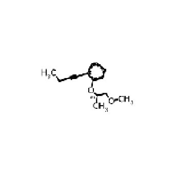 CCC#Cc1ccccc1O[C@H](C)COC